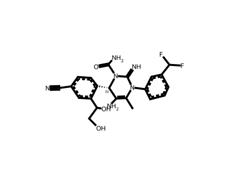 CC1=C(N)[C@H](c2ccc(C#N)cc2C(O)CO)N(C(N)=O)C(=N)N1c1cccc(C(F)F)c1